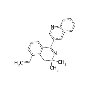 C=Cc1cccc2c1CC(C)(C)N=C2c1cnc2ccccc2c1